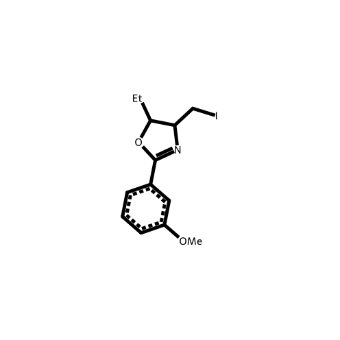 CCC1OC(c2cccc(OC)c2)=NC1CI